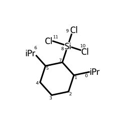 CC(C)C1CCCC(C(C)C)C1[Si](Cl)(Cl)Cl